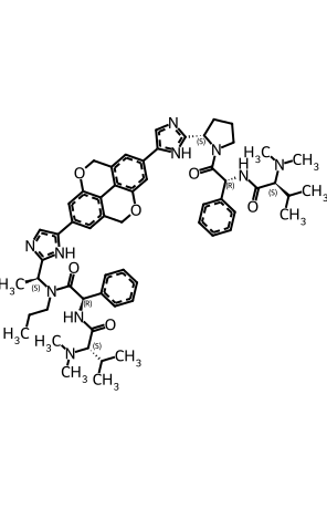 CCCN(C(=O)[C@H](NC(=O)[C@H](C(C)C)N(C)C)c1ccccc1)[C@@H](C)c1ncc(-c2cc3c4c(c2)OCc2cc(-c5cnc([C@@H]6CCCN6C(=O)[C@H](NC(=O)[C@H](C(C)C)N(C)C)c6ccccc6)[nH]5)cc(c2-4)OC3)[nH]1